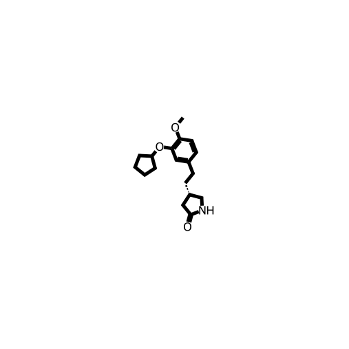 COc1ccc(CC[C@@H]2CNC(=O)C2)cc1OC1CCCC1